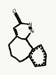 O=C1C=C2CCCc3ccccc3C2N=N1